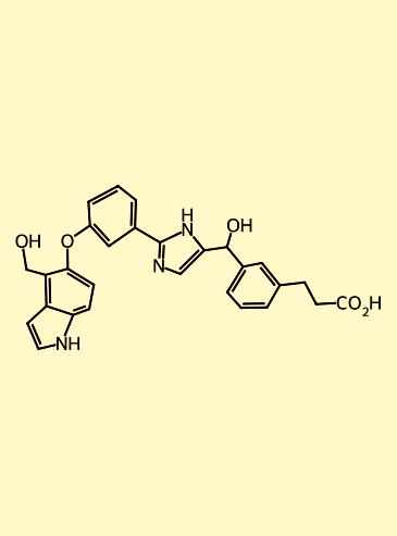 O=C(O)CCc1cccc(C(O)c2cnc(-c3cccc(Oc4ccc5[nH]ccc5c4CO)c3)[nH]2)c1